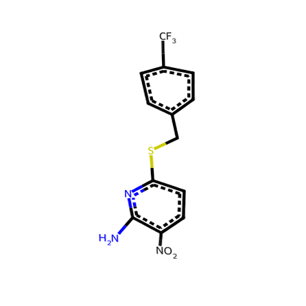 Nc1nc(SCc2ccc(C(F)(F)F)cc2)ccc1[N+](=O)[O-]